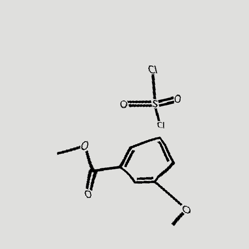 COC(=O)c1cccc(OC)c1.O=S(=O)(Cl)Cl